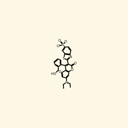 CCN(CC)c1ccc2c(-c3ccccc3C(=O)O)c(-c3nc4ccc(S(=O)(=O)Cl)cc4s3)c(=O)oc2c1